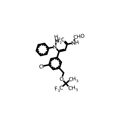 C=C(/C=C(/c1cc(Cl)cc(COC(C)(C)C(F)(F)F)c1)N(N)c1ccccc1)NC=O